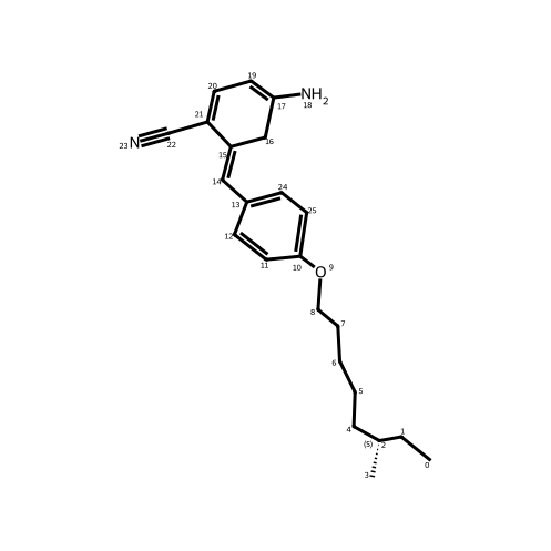 CC[C@H](C)CCCCCOc1ccc(C=C2CC(N)=CC=C2C#N)cc1